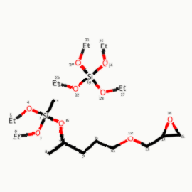 CCO[Si](C)(OCC)OC(C)CCCOCC1CO1.CCO[Si](OCC)(OCC)OCC